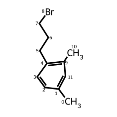 Cc1ccc(CCCBr)c(C)c1